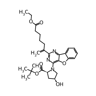 C=C(CCCCC(=O)OCC)c1nc(N2C[C@@H](O)C[C@H]2C(=O)OC(C)(C)C)c2oc3ccccc3c2n1